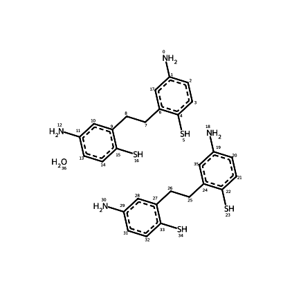 Nc1ccc(S)c(CCc2cc(N)ccc2S)c1.Nc1ccc(S)c(CCc2cc(N)ccc2S)c1.O